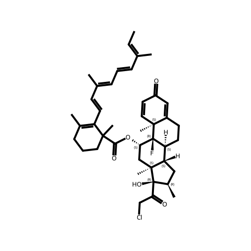 CC=C(C)C=CC=C(C)C=CC1=C(C)CCCC1(C)C(=O)O[C@H]1C[C@@]2(C)[C@@H](C[C@@H](C)[C@]2(O)C(=O)CCl)[C@@H]2CCC3=CC(=O)C=C[C@]3(C)[C@@]12F